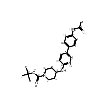 CC(=O)Nc1ccc(-c2ccc(NC3CCN(C(=O)OC(C)(C)C)CC3)nn2)cc1